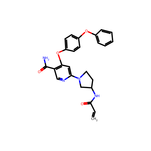 C=CC(=O)NC1CCN(c2cc(Oc3ccc(Oc4ccccc4)cc3)c(C(N)=O)cn2)C1